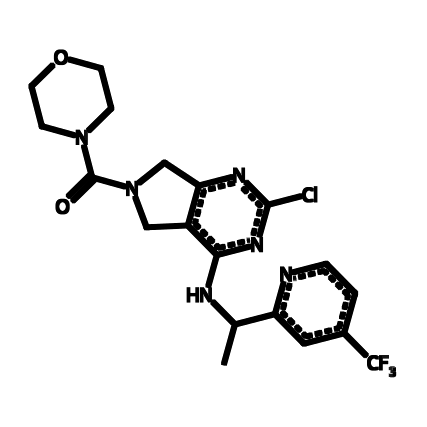 CC(Nc1nc(Cl)nc2c1CN(C(=O)N1CCOCC1)C2)c1cc(C(F)(F)F)ccn1